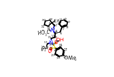 CCC1(CN(C(=O)O)[C@@H](Cc2ccccc2)[C@H](O)CN(CC(C)C)S(=O)(=O)c2ccc(OC)cc2)CCCC1